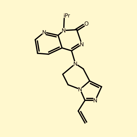 C=Cc1ncc2n1CCN(c1nc(=O)n(C(C)C)c3ncccc13)C2